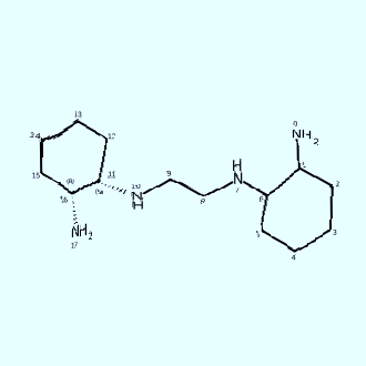 NC1CCCCC1NCCN[C@H]1CCCC[C@H]1N